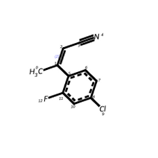 C/C(=C/C#N)c1ccc(Cl)cc1F